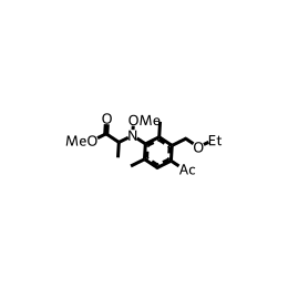 CCOCc1c(C(C)=O)cc(C)c(N(OC)C(C)C(=O)OC)c1C